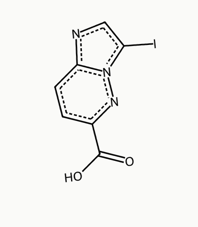 O=C(O)c1ccc2ncc(I)n2n1